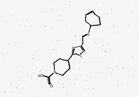 O=C(O)N1CCC(c2nc(CSC3CCCCC3)cs2)CC1